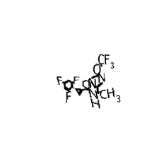 CC(NC(=O)[C@H]1C[C@@H]1c1c(F)cc(F)cc1F)c1cnc(OCC(F)(F)F)cn1